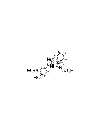 COc1cc(CNC(=O)C2(C3(C)CCCCC3)CN(C(=O)O)C2)ccc1O